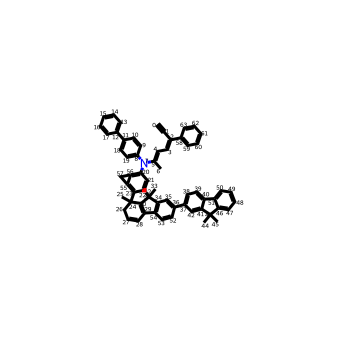 C#C/C(=C\C=C(/C)N(c1ccc(-c2ccccc2)cc1)c1ccc(C2(C)CC=CC3=C2C(C)(C)c2cc(-c4ccc5c(c4)C(C)(C)c4ccccc4-5)ccc23)c2c1C2)c1ccccc1